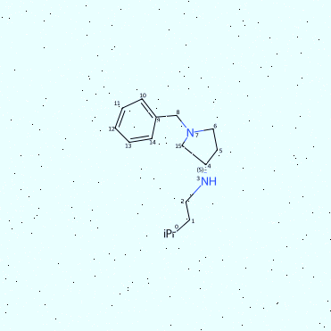 CC(C)CCN[C@H]1CCN(Cc2ccccc2)C1